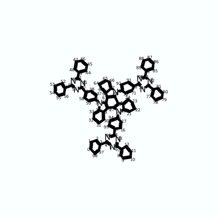 c1ccc(-c2nc(-c3ccccc3)nc(-c3ccc(-n4c5ccccc5c5c4c4c6ccccc6n(-c6ccc(-c7nc(-c8ccccc8)nc(-c8ccccc8)n7)cc6)c4c4c6ccccc6n(-c6ccc(-c7nc(-c8ccccc8)nc(-c8ccccc8)n7)cc6)c54)cc3)n2)cc1